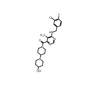 Cc1c(NCc2ccc(F)c(Cl)c2)ncnc1C(=O)N1CCC(N2CCC(O)CC2)CC1